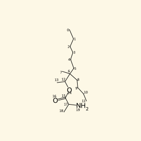 CCCCCCC(C)(CCCC)C(C)OC(=O)C(C)N